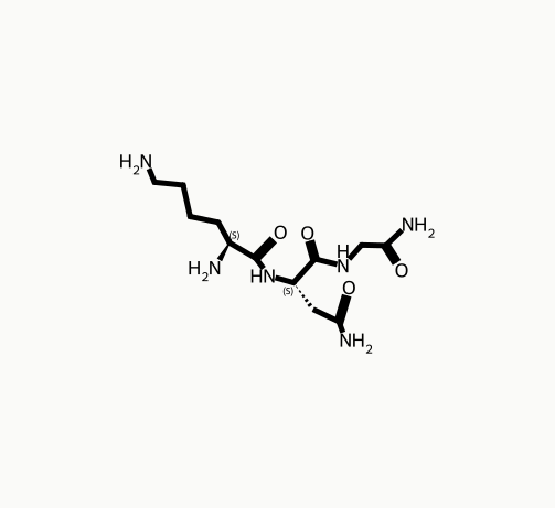 NCCCC[C@H](N)C(=O)N[C@@H](CC(N)=O)C(=O)NCC(N)=O